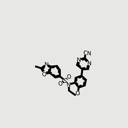 Cc1nc2ccc(S(=O)(=O)N3CCOc4ccc(-c5cnc(C#N)nc5)cc43)cc2o1